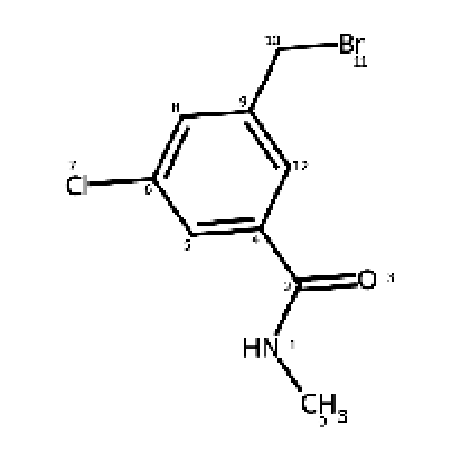 CNC(=O)c1cc(Cl)cc(CBr)c1